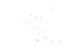 CC(C)(O)c1nn([C@H]2CC[C@H](C)CC2)cc1NC(=O)c1cnn2ccc(N3CCOCC3)nc12